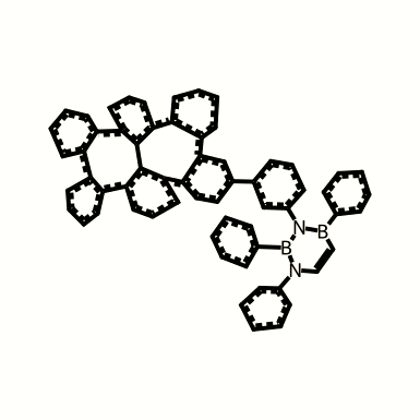 C1=CN(c2ccccc2)B(c2ccccc2)N(c2cccc(-c3ccc4c5cccc6c5-c5c(cccc5c5ccccc5c4c3)c3ccccc3c3ccccc63)c2)B1c1ccccc1